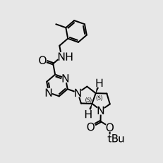 Cc1ccccc1CNC(=O)c1cncc(N2C[C@@H]3CCN(C(=O)OC(C)(C)C)[C@@H]3C2)n1